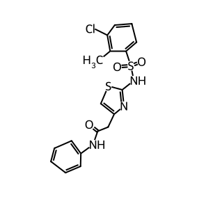 Cc1c(Cl)cccc1S(=O)(=O)Nc1nc(CC(=O)Nc2ccccc2)cs1